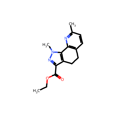 CCOC(=O)c1nn(C)c2c1CCc1ccc(C)nc1-2